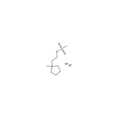 C[N+]1(CCOS(C)(=O)=O)CCCC1.F.F